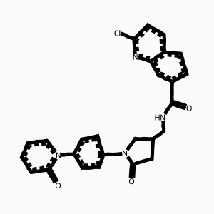 O=C(NCC1CC(=O)N(c2ccc(-n3ccccc3=O)cc2)C1)c1ccc2ccc(Cl)nc2c1